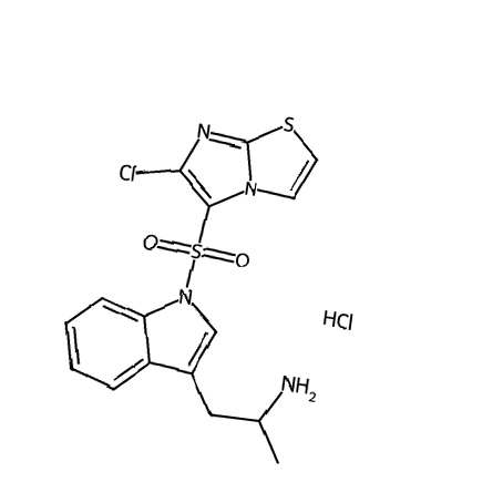 CC(N)Cc1cn(S(=O)(=O)c2c(Cl)nc3sccn23)c2ccccc12.Cl